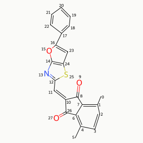 Cc1ccc(C)c2c1C(=O)C(=Cc1nc3oc(-c4ccccc4)cc3s1)C2=O